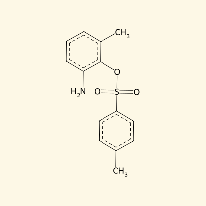 Cc1ccc(S(=O)(=O)Oc2c(C)cccc2N)cc1